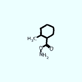 CC1CCCCC1C(=O)ON